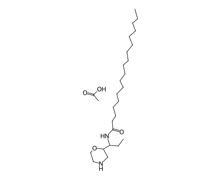 CC(=O)O.CCCCCCCCCCCCCCCCCC(=O)NC(CC)C1CNCCO1